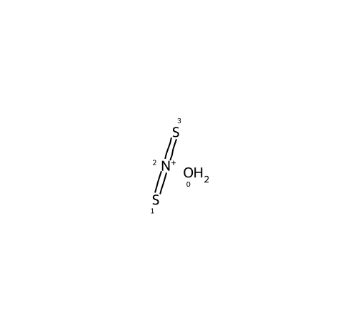 O.S=[N+]=S